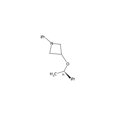 CC(C)[C@@H](C)OC1CN(C(C)C)C1